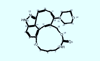 O=C1NCCCOc2ccc3[nH]nc4c3c2C=C(CO1)C(N1CCOCC1)=CC=C4